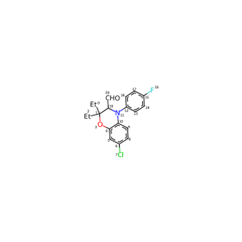 CCC1(CC)Oc2cc(Cl)ccc2N(c2ccc(F)cc2)C1C=O